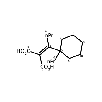 CCCC(=C(C(=O)O)C(=O)O)C1(CCC)CCCCC1